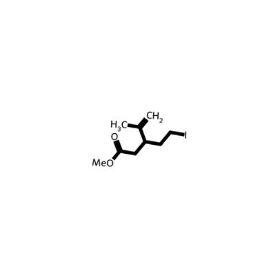 C=C(C)C(CCI)CC(=O)OC